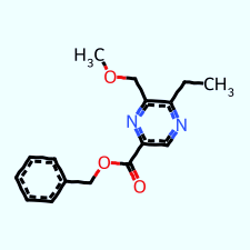 CCc1ncc(C(=O)OCc2ccccc2)nc1COC